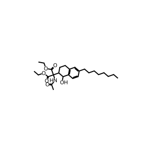 CCCCCCCCc1ccc2c(c1)CCC(C(NC(C)=O)(C(=O)OCC)C(=O)OCC)C2O